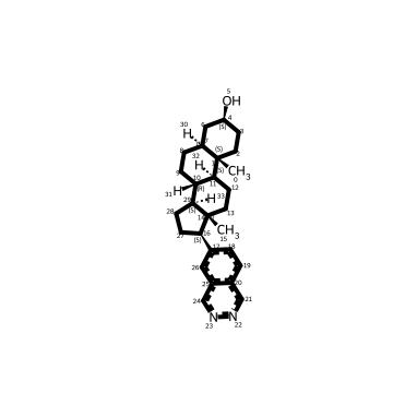 C[C@]12CC[C@H](O)C[C@@H]1CC[C@@H]1[C@@H]2CC[C@]2(C)[C@@H](c3ccc4cnncc4c3)CC[C@@H]12